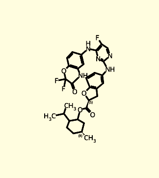 CC(C)C1CC[C@@H](C)CC1OC(=O)[C@@H]1Cc2cc(Nc3ncc(F)c(Nc4ccc5c(c4)NC(=O)C(F)(F)O5)n3)ccc2O1